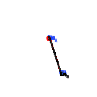 CCNCCCCCCCCCCCCCCCCCCCCCCCCCCCCCCCCCCCCCCC(N)=O